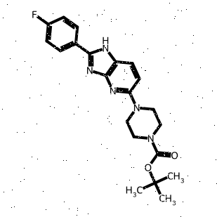 CC(C)(C)OC(=O)N1CCN(c2ccc3[nH]c(-c4ccc(F)cc4)nc3n2)CC1